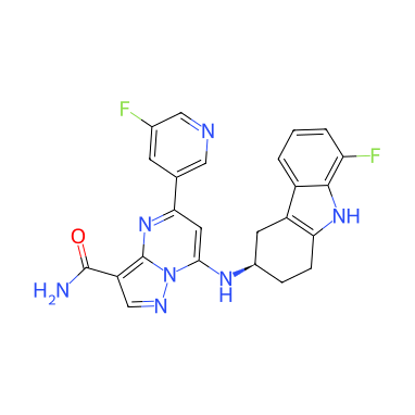 NC(=O)c1cnn2c(N[C@@H]3CCc4[nH]c5c(F)cccc5c4C3)cc(-c3cncc(F)c3)nc12